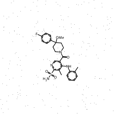 COC1(c2ccc(F)cc2)CCN(C(=O)c2cnc(S(N)(=O)=O)c(C)c2Nc2ccccc2C)CC1